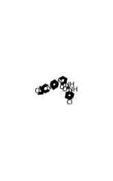 O=C(Nc1ccc(Cl)cc1)N[C@@H]1CCCN(c2ccc(N3CCC4(CCOC4)CC3)cc2)C1=O